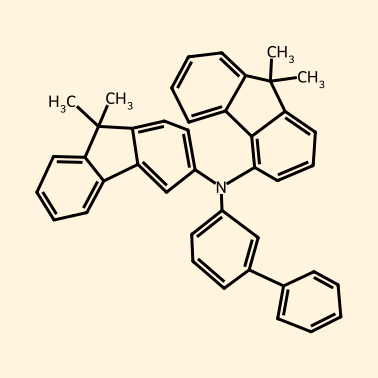 CC1(C)c2ccccc2-c2cc(N(c3cccc(-c4ccccc4)c3)c3cccc4c3-c3ccccc3C4(C)C)ccc21